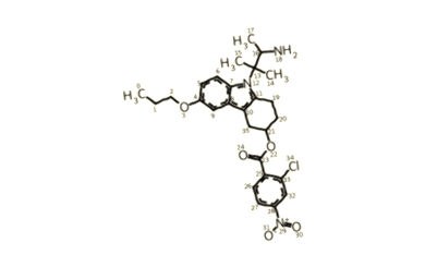 CCCOc1ccc2c(c1)c1c(n2C(C)(C)C(C)N)CCC(OC(=O)c2ccc([N+](=O)[O-])cc2Cl)C1